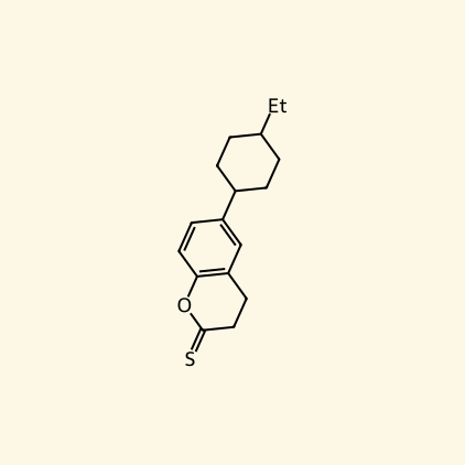 CCC1CCC(c2ccc3c(c2)CCC(=S)O3)CC1